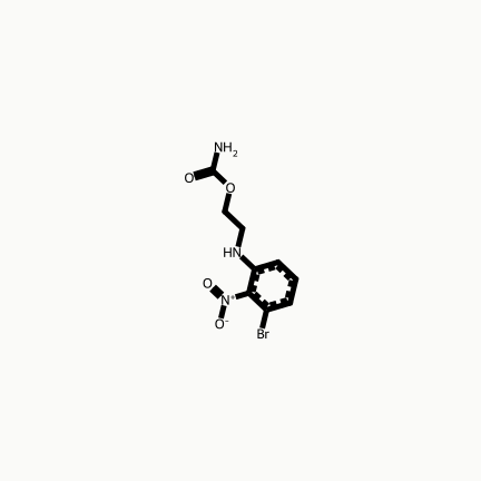 NC(=O)OCCNc1cccc(Br)c1[N+](=O)[O-]